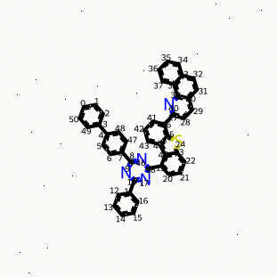 c1ccc(-c2ccc(-c3nc(-c4ccccc4)nc(-c4cccc5sc6c(-c7ccc8ccc9ccccc9c8n7)cccc6c45)n3)cc2)cc1